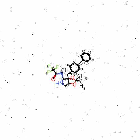 CN(C(=O)C(F)(F)F)C1NCC2OC(C)(C)OC21Cc1ccc(-c2ccccc2)cc1